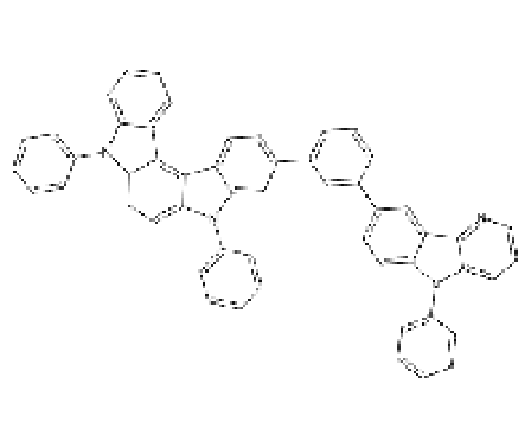 c1ccc(-n2c3ccc(-c4cccc(-c5ccc6c7c8c9ccccc9n(-c9ccccc9)c8ccc7n(-c7ccccc7)c6c5)c4)cc3c3ncccc32)cc1